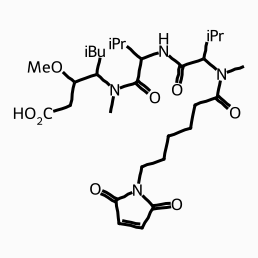 CCC(C)C(C(CC(=O)O)OC)N(C)C(=O)C(NC(=O)C(C(C)C)N(C)C(=O)CCCCCN1C(=O)C=CC1=O)C(C)C